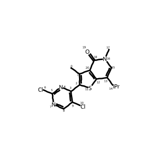 Cc1c(-c2nc(Cl)ncc2Cl)sc2c(C(C)C)cn(C)c(=O)c12